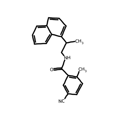 Cc1ccc(C#N)cc1C(=O)NCC(C)c1cccc2ccccc12